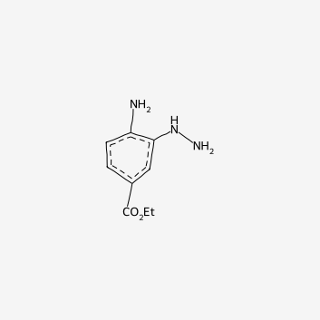 CCOC(=O)c1ccc(N)c(NN)c1